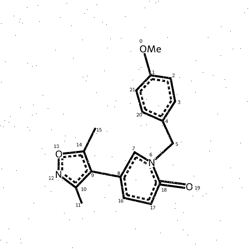 COc1ccc(Cn2cc(-c3c(C)noc3C)ccc2=O)cc1